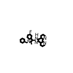 Cc1c(-c2nc3c4cccnc4c4ncccc4c3[nH]2)c2cc(F)ccc2n1Cc1ccccc1